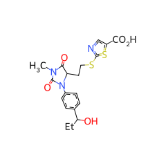 CCC(O)c1ccc(N2C(=O)N(C)C(=O)C2CCSc2ncc(C(=O)O)s2)cc1